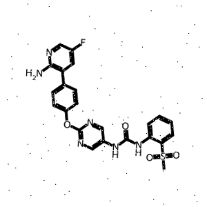 CS(=O)(=O)c1ccccc1NC(=O)Nc1cnc(Oc2ccc(-c3cc(F)cnc3N)cc2)nc1